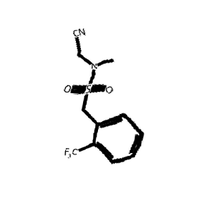 CN(CC#N)S(=O)(=O)Cc1ccccc1C(F)(F)F